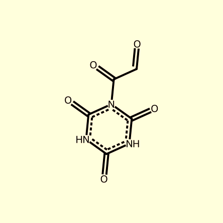 O=CC(=O)n1c(=O)[nH]c(=O)[nH]c1=O